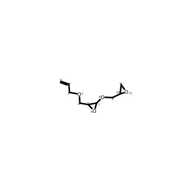 C=CCOCC1OC1OCC1CO1